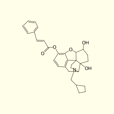 O=C(C=Cc1ccccc1)Oc1ccc2c3c1OC1C(O)CCC4(O)C(C2)N(CC2CCC2)CCC314